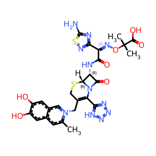 Cc1cc2cc(O)c(O)cc2c[n+]1CC1=C(c2nnn[nH]2)N2C(=O)[C@@H](NC(=O)/C(=N\OC(C)(C)C(=O)O)c3nsc(N)n3)[C@H]2SC1